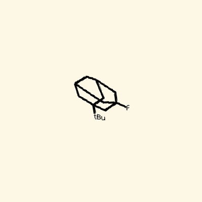 CC(C)(C)C12CC3CC(CC(F)(C3)C1)C2